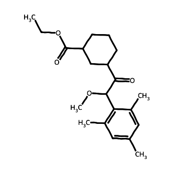 CCOC(=O)C1CCCC(C(=O)C(OC)c2c(C)cc(C)cc2C)C1